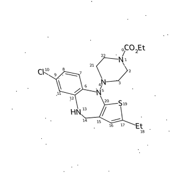 CCOC(=O)N1CCN(N2c3ccc(Cl)cc3NCc3cc(CC)sc32)CC1